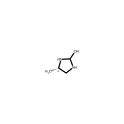 C[C@H]1CNC(O)N1